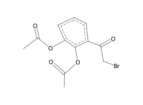 CC(=O)Oc1cccc(C(=O)CBr)c1OC(C)=O